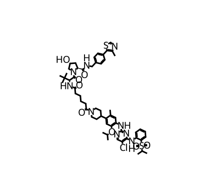 Cc1cc(Nc2ncc(Cl)c(Nc3ccccc3S(=O)(=O)C(C)C)n2)c(OC(C)C)cc1C1CCN(C(=O)CCCCC(=O)N[C@H](C(=O)N2C[C@@H](O)C[C@H]2C(=O)NCc2ccc(-c3scnc3C)cc2)C(C)(C)C)CC1